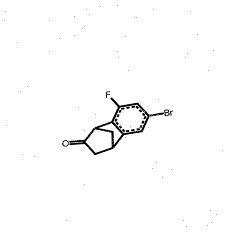 O=C1CC2CC1c1c(F)cc(Br)cc12